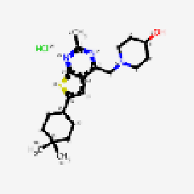 Cc1nc(CN2CCC(O)CC2)c2cc(C3CCC(C)(C)CC3)sc2n1.Cl